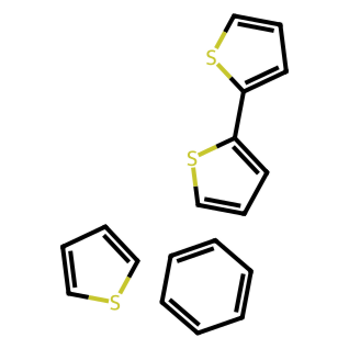 c1ccccc1.c1ccsc1.c1csc(-c2cccs2)c1